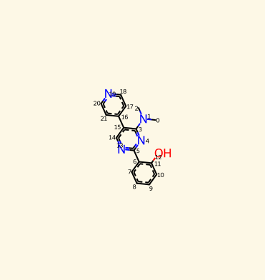 CN(C)c1nc(-c2ccccc2O)ncc1-c1ccncc1